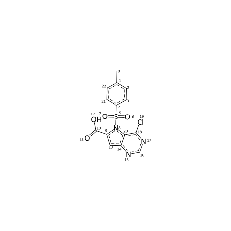 Cc1ccc(S(=O)(=O)n2c(C(=O)O)cc3ncnc(Cl)c32)cc1